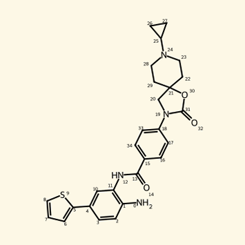 Nc1ccc(-c2cccs2)cc1NC(=O)c1ccc(N2CC3(CCN(C4CC4)CC3)OC2=O)cc1